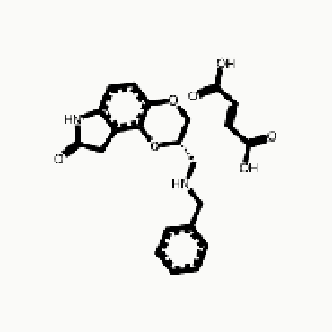 O=C(O)/C=C/C(=O)O.O=C1Cc2c(ccc3c2O[C@@H](CNCc2ccccc2)CO3)N1